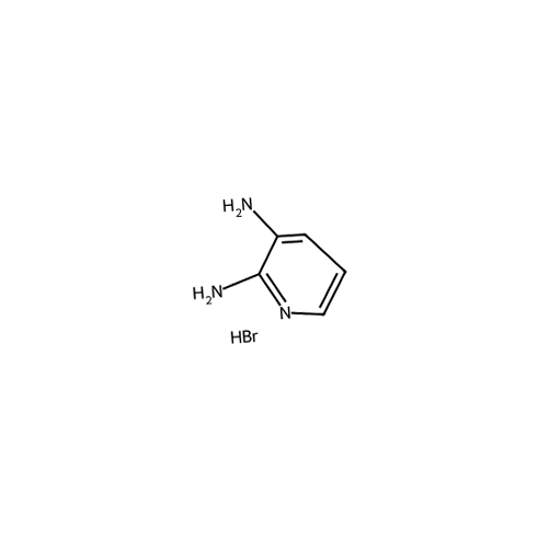 Br.Nc1cccnc1N